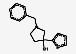 OC1(c2cccs2)CCN(Cc2ccccc2)C1